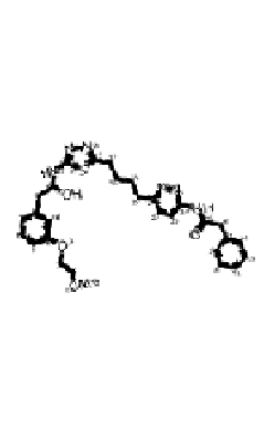 COCCOc1cccc(CC(O)Nc2nnc(CCCCc3ccc(NC(=O)Cc4ccccc4)nn3)s2)c1